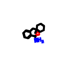 CC1(Cc2ccccc2C(N)=O)CCCCC1